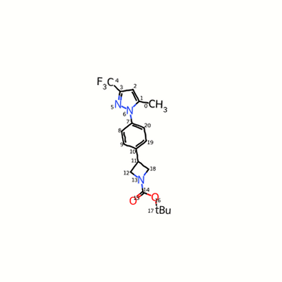 Cc1cc(C(F)(F)F)nn1-c1ccc(C2CN(C(=O)OC(C)(C)C)C2)cc1